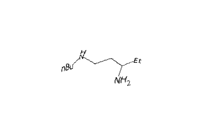 CCCCNCCC(N)CC